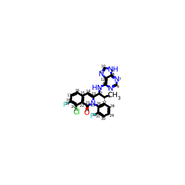 CCC(Nc1ncnc2[nH]cnc12)c1cc2ccc(F)c(Cl)c2c(=O)n1-c1ccccc1F